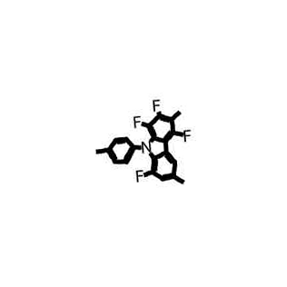 Cc1ccc(-n2c3c(F)cc(C)cc3c3c(F)c(C)c(F)c(F)c32)cc1